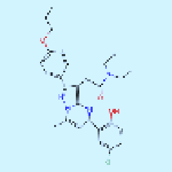 CCCOc1ccc(-c2nn3c(C)cc(-c4cc(Cl)ccc4O)nc3c2CC(=O)N(CC)CC)cc1